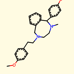 COc1ccc(CCN2CCN(C)C(c3ccc(OC)cc3)c3ccccc3C2)cc1